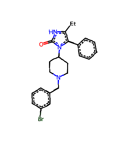 CCc1[nH]c(=O)n(C2CCN(Cc3cccc(Br)c3)CC2)c1-c1ccccc1